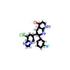 O=c1cc[nH]c2nc(-c3cccc(F)c3)c(-c3cc(Cl)c4nccn4c3)cc12